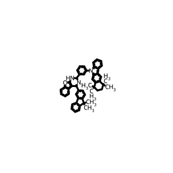 CC1(C)CCC(C)(C)c2cc3c(cc21)c1ccccc1n3-c1cccc(C2N=C(c3ccc4c(c3)-c3ccccc3C4(C)C)c3c(oc4ccccc34)N2)c1